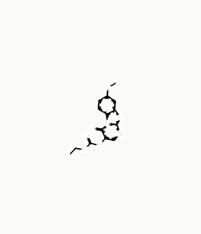 CCOC(=O)Oc1cnc2sc3cc(SC)ccc3n2c1=O